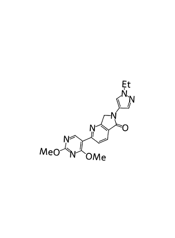 CCn1cc(N2Cc3nc(-c4cnc(OC)nc4OC)ccc3C2=O)cn1